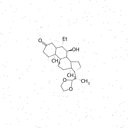 CC[C@H]1C2CC(=O)CC[C@]2(C)C2CC[C@@]3(C)C(CC[C@@H]3[C@H](C)C3OCCO3)C2[C@@H]1O